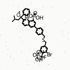 COC(CC(C)C)(c1ccccc1)c1ccc2cc(-c3ccc(CSCc4ccc(C(F)(F)P(=O)(O)O)c(Br)c4)cc3)cc(P(=O)(O)O)c2n1